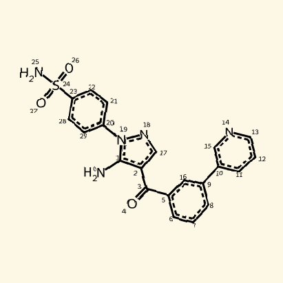 Nc1c(C(=O)c2cccc(-c3cccnc3)c2)cnn1-c1ccc(S(N)(=O)=O)cc1